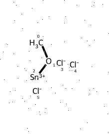 C[O][Sn+3].[Cl-].[Cl-].[Cl-]